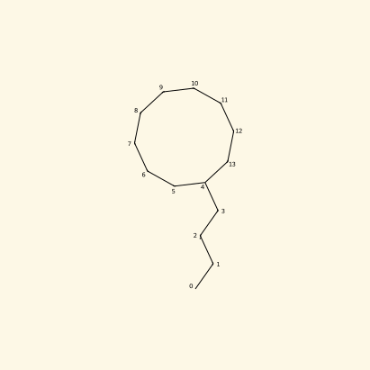 CC[CH]CC1CCCCCCCCC1